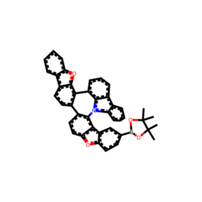 CC1(C)OB(c2ccc3oc4ccc5c(c4c3c2)-n2c3ccccc3c3cccc(c32)-c2c-5ccc3c2oc2ccccc23)OC1(C)C